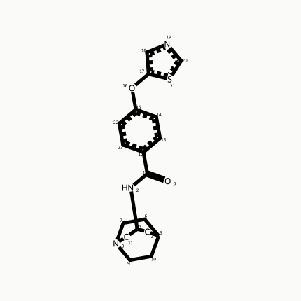 O=C(NC1CC2CCN(CC2)C1)c1ccc(Oc2cncs2)cc1